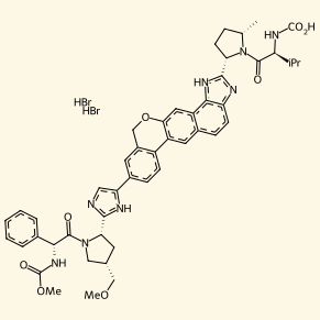 Br.Br.COC[C@H]1C[C@@H](c2ncc(-c3ccc4c(c3)COc3cc5c(ccc6nc([C@@H]7CC[C@H](C)N7C(=O)[C@@H](NC(=O)O)C(C)C)[nH]c65)cc3-4)[nH]2)N(C(=O)[C@H](NC(=O)OC)c2ccccc2)C1